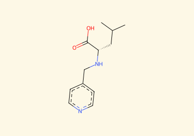 CC(C)C[C@H](NCc1ccncc1)C(=O)O